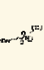 CCCCCCCCCCCCCC(=O)C(=O)N1CCCC1CCC(=O)O